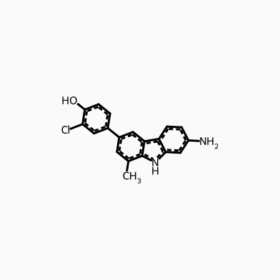 Cc1cc(-c2ccc(O)c(Cl)c2)cc2c1[nH]c1cc(N)ccc12